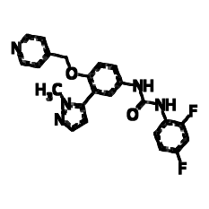 Cn1nccc1-c1cc(NC(=O)Nc2ccc(F)cc2F)ccc1OCc1ccncc1